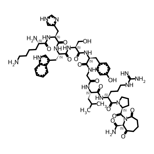 CC(C)C[C@H](NC(=O)CNC(=O)[C@H](Cc1ccc(O)cc1)NC(=O)[C@H](CO)NC(=O)[C@H](Cc1c[nH]c2ccccc12)NC(=O)[C@H](Cc1c[nH]cn1)NC(=O)[C@@H](N)CCCCN)C(=O)N[C@@H](CCCNC(=N)N)C(=O)N1CCC[C@H]1C(=O)N1C(=O)CCCC(=O)[C@H]1C(N)=O